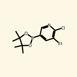 CCc1cc(B2OC(C)(C)C(C)(C)O2)cnc1Cl